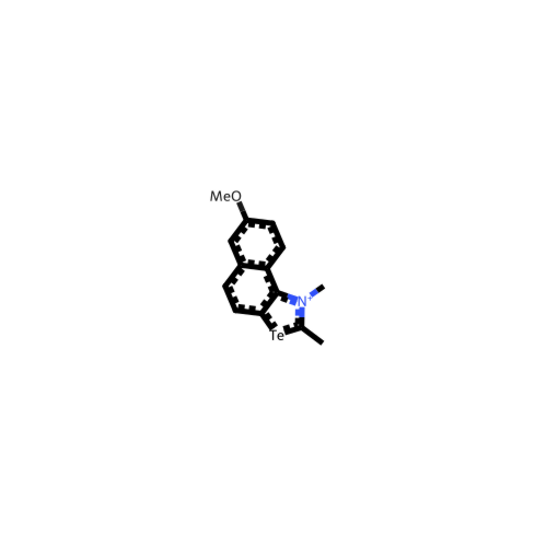 COc1ccc2c(ccc3[te]c(C)[n+](C)c32)c1